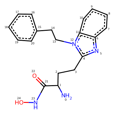 NC(CCc1nc2ccccc2n1CCc1ccccc1)C(=O)NO